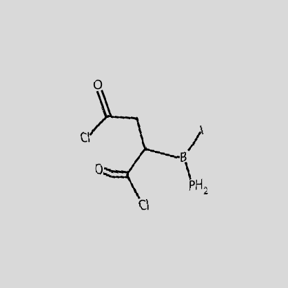 O=C(Cl)CC(B(P)I)C(=O)Cl